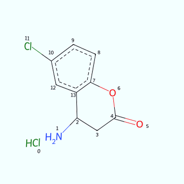 Cl.NC1CC(=O)Oc2ccc(Cl)cc21